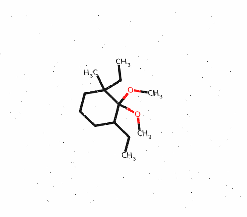 CCC1CCCC(C)(CC)C1(OC)OC